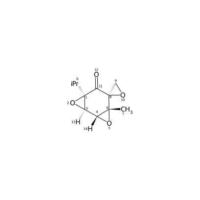 CC(C)[C@@]12O[C@@H]1[C@H]1O[C@@]1(C)[C@@]1(CO1)C2=O